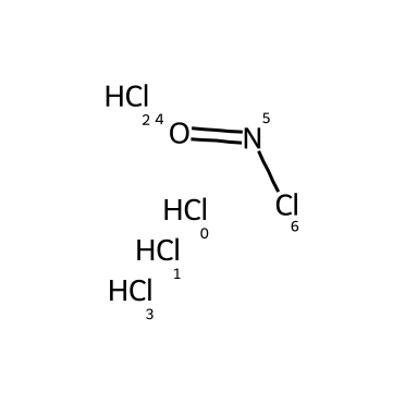 Cl.Cl.Cl.Cl.O=NCl